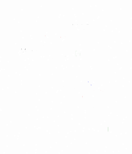 CCOC(=O)COc1c(C(=O)OC)sc(-c2cccc(NS(=O)(=O)c3ccc(F)cc3)c2)c1Br